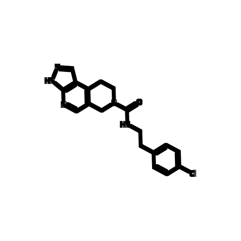 O=C(NCCc1ccc(Cl)cc1)N1CCc2c(cnc3[nH]ncc23)C1